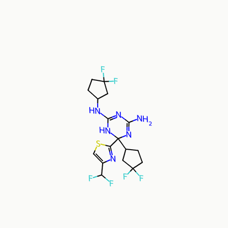 NC1=NC(c2nc(C(F)F)cs2)(C2CCC(F)(F)C2)NC(NC2CCC(F)(F)C2)=N1